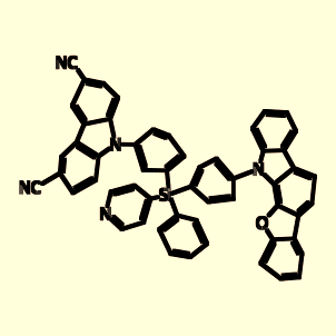 N#Cc1ccc2c(c1)c1cc(C#N)ccc1n2-c1cccc([Si](c2ccccc2)(c2ccncc2)c2ccc(-n3c4ccccc4c4ccc5c6ccccc6oc5c43)cc2)c1